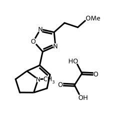 COCCc1noc(C2=CCC3CCC2N3C)n1.O=C(O)C(=O)O